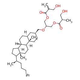 C=C(CO)C(=O)OCC(COC(=O)C(C)CO)OC[C@H]1CC[C@@]2(C)[C@@H](CC[C@@H]3[C@@H]2CC[C@]2(C)C([C@H](C)CCCC(C)C)CC[C@@H]32)C1